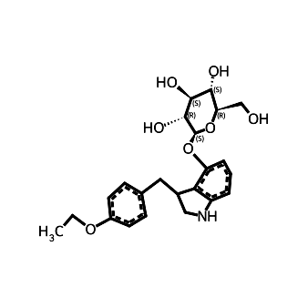 CCOc1ccc(CC2CNc3cccc(O[C@@H]4O[C@H](CO)[C@@H](O)[C@H](O)[C@H]4O)c32)cc1